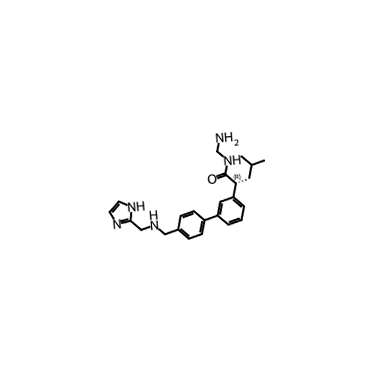 CC(C)C[C@@H](C(=O)NCN)c1cccc(-c2ccc(CNCc3ncc[nH]3)cc2)c1